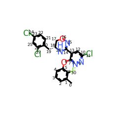 Cc1cccc(Oc2nnc(Cl)cc2C2=NOC[C@@H](Cc3ccc(Cl)cc3Cl)N2)c1F